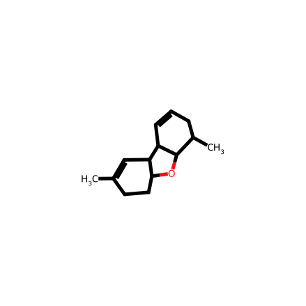 CC1=CC2C(CC1)OC1C(C)CC=CC21